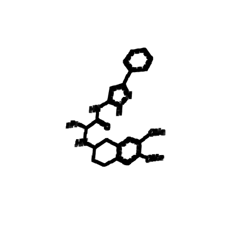 CCC[C@H](NC1CCc2cc(OC)c(OC)cc2C1)C(=O)Nc1cc(-c2ccccc2)n[nH]1